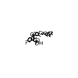 Cc1cc(C(=O)n2c(C)c(CC(=O)O)c3cc(F)ccc32)c(C)cc1OC[C@@H]1CN(C)c2c(C)cccc2O1